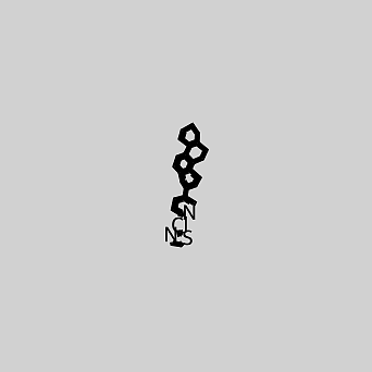 C1=NCCS1.Clc1ccc(-c2ccc3c4c(ccc3c2)C2=C(CCC=C2)CC4)cn1